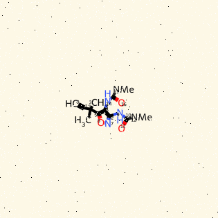 C#CC(C)(C)c1onc(NC(=O)NC)c1NC(=O)NC